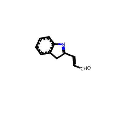 O=C/C=C/C1=Nc2ccccc2C1